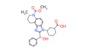 COC(=O)N1c2ccc3c(nc(C(O)c4ccccc4)n3C3CCCC(C(=O)O)C3)c2CC[C@@H]1C